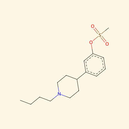 CCCCN1CCC(c2cccc(OS(C)(=O)=O)c2)CC1